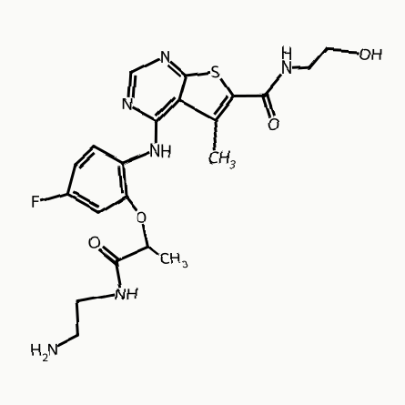 Cc1c(C(=O)NCCO)sc2ncnc(Nc3ccc(F)cc3OC(C)C(=O)NCCN)c12